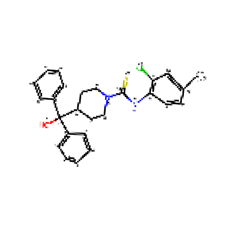 OC(c1ccccc1)(c1ccccc1)C1CCN(C(=S)Nc2ccc(C(F)(F)F)cc2Cl)CC1